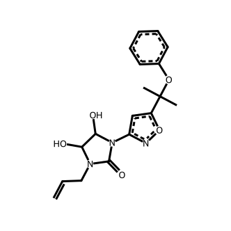 C=CCN1C(=O)N(c2cc(C(C)(C)Oc3ccccc3)on2)C(O)C1O